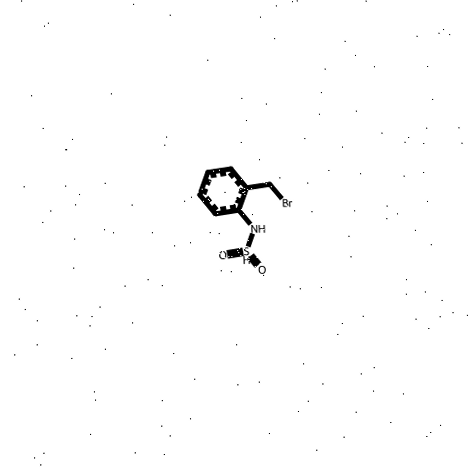 O=[SH](=O)Nc1ccccc1CBr